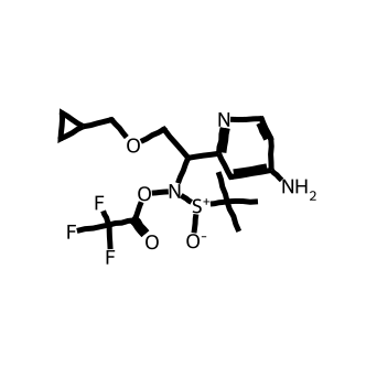 CC(C)(C)[S+]([O-])N(OC(=O)C(F)(F)F)C(COCC1CC1)c1cc(N)ccn1